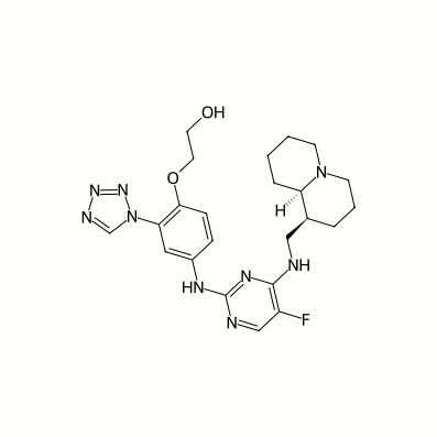 OCCOc1ccc(Nc2ncc(F)c(NC[C@@H]3CCCN4CCCC[C@H]34)n2)cc1-n1cnnn1